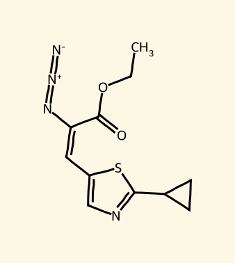 CCOC(=O)/C(=C\c1cnc(C2CC2)s1)N=[N+]=[N-]